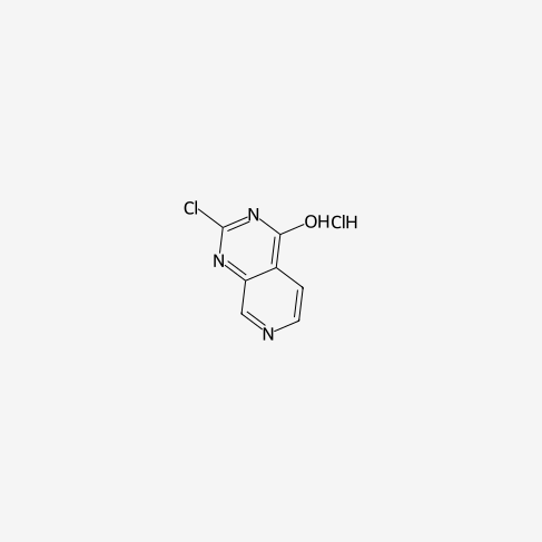 Cl.Oc1nc(Cl)nc2cnccc12